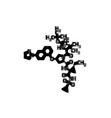 C=C[C@@H]1C[C@]1(NC(=O)[C@@H]1C[C@@H](Oc2cccc3cc(-n4cccn4)ccc23)CN1C(=O)[C@@H](NC(=O)OC(C)(C)C)C(C)(C)C)C(=O)NS(=O)(=O)C1CC1